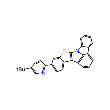 CC(C)(C)c1ccc(-c2ccc3c(c2)sc2c3c3cccc4c5ccccc5n2c43)nc1